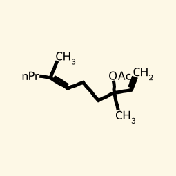 C=CC(C)(CC/C=C(\C)CCC)OC(C)=O